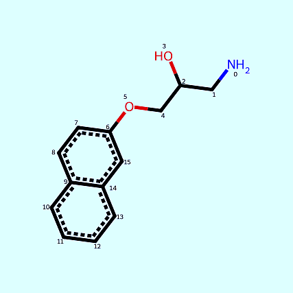 NCC(O)COc1ccc2ccccc2c1